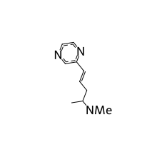 CNC(C)C/C=C/c1cnccn1